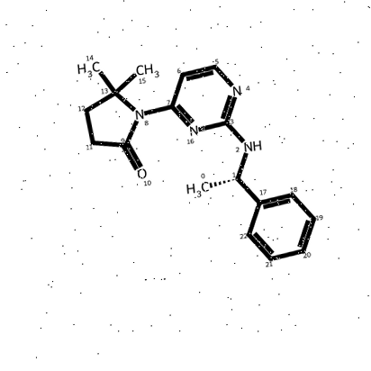 C[C@H](Nc1nccc(N2C(=O)CCC2(C)C)n1)c1ccccc1